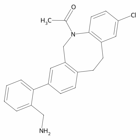 CC(=O)N1Cc2cc(-c3ccccc3CN)ccc2CCc2cc(Cl)ccc21